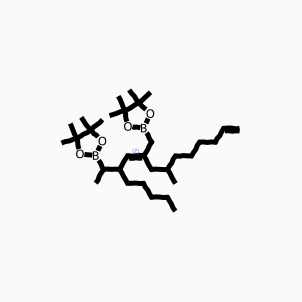 C=CCCCCC(C)C/C(=C\C(CCCCC)C(C)B1OC(C)(C)C(C)(C)O1)CB1OC(C)(C)C(C)(C)O1